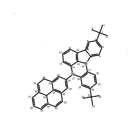 CC(C)(C)c1ccc2c(c1)-c1cccc3c1B2c1ccc(C(C)(C)C)cc1N3c1cc2c3c(c1)CC=C1C=CC=C(C=C2)C13